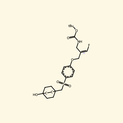 CC(C)(C)OC(=O)NC/C(=C\F)COc1ccc(S(=O)(=O)CC23CCC(O)(CC2)CC3)cc1